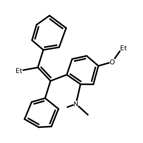 CCOc1ccc(C(=C(CC)c2ccccc2)c2ccccc2)c(N(C)C)c1